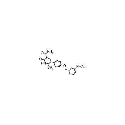 CC(=O)Nc1cccc(COc2ccc(-c3cc(C(N)=O)c(=O)[nH]c3C(F)(F)F)cc2)c1